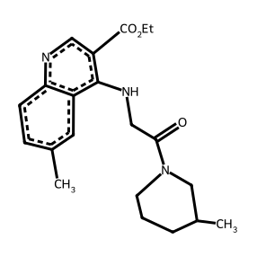 CCOC(=O)c1cnc2ccc(C)cc2c1NCC(=O)N1CCCC(C)C1